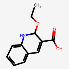 CCOC1Nc2ccccc2C=C1C(=O)O